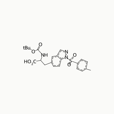 Cc1ccc(S(=O)(=O)n2ncc3cc(CC(NC(=O)OC(C)(C)C)C(=O)O)ccc32)cc1